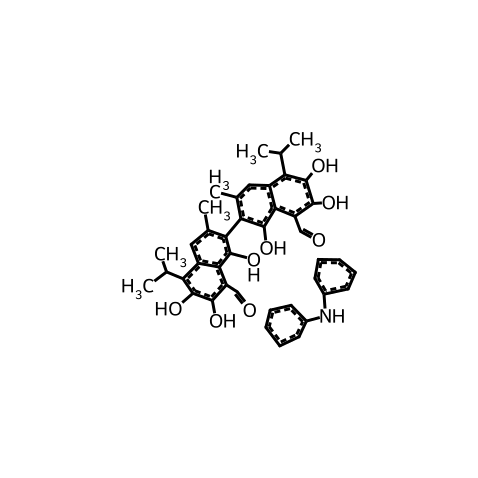 Cc1cc2c(C(C)C)c(O)c(O)c(C=O)c2c(O)c1-c1c(C)cc2c(C(C)C)c(O)c(O)c(C=O)c2c1O.c1ccc(Nc2ccccc2)cc1